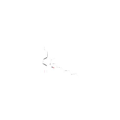 CCCCCCCCC1(C(=O)O)C=CC=C(CCOC)C1C